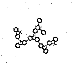 CC1(C)c2ccccc2-c2ccc(-n3c4ccccc4c4ccc(-c5ccc6c(c5)c5cc(-c7ccc8c9ccccc9n(-c9ccc%10c(c9)C(C)(C)c9ccccc9-%10)c8c7)ccc5n6-c5ccc6nc(-c7ccccc7)nc(-c7ccccc7)c6c5)cc43)cc21